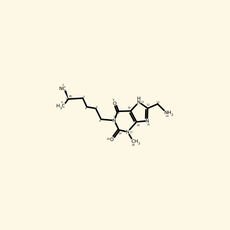 C[C@@H](C#N)CCCCn1c(=O)c2[nH]c(CN)nc2n(C)c1=O